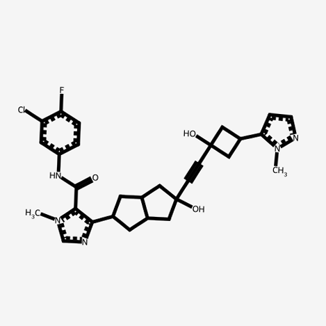 Cn1cnc(C2CC3CC(O)(C#CC4(O)CC(c5ccnn5C)C4)CC3C2)c1C(=O)Nc1ccc(F)c(Cl)c1